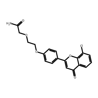 NC(=O)COCCOc1ccc(-c2cc(=O)c3cccc(Cl)c3o2)cc1